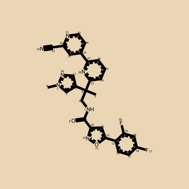 Cn1cc(C(C)(CNC(=O)c2cc(-c3ccc(F)cc3F)on2)c2cccc(-c3ccnc(C#N)c3)n2)cn1